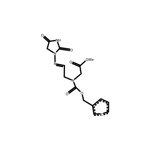 COC(=O)CN(C/C=N/N1CC(=O)NC1=O)C(=O)OCc1ccccc1